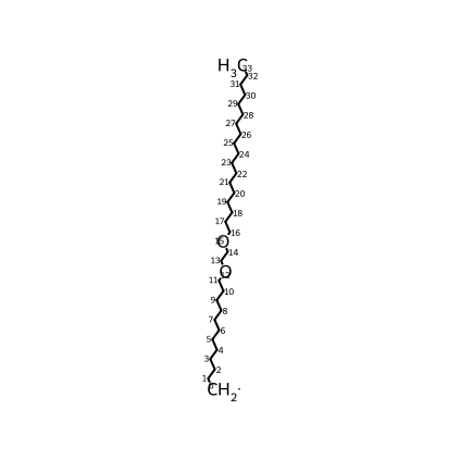 [CH2]CCCCCCCCCCCOCCOCCCCCCCCCCCCCCCCCC